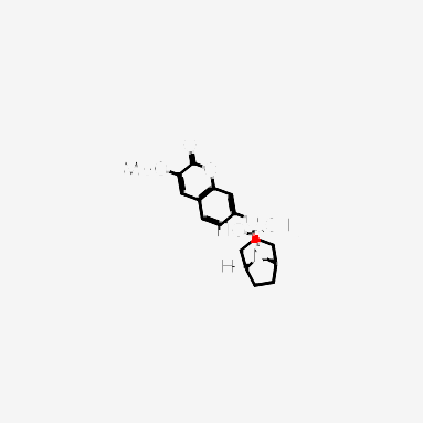 COc1cc2ccc(O[C@@H]3CC4CC[C@@H](C3)N4B(C)O)cc2oc1=O